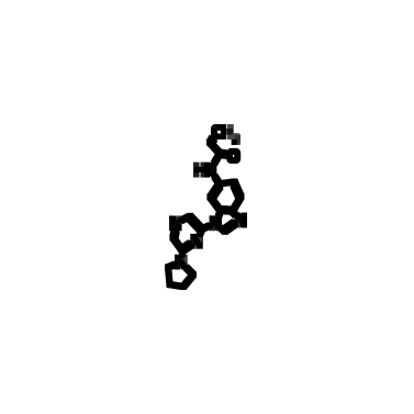 C=CC(=O)Nc1ccc2ncn(-c3cncc(N4CCCC4)n3)c2c1